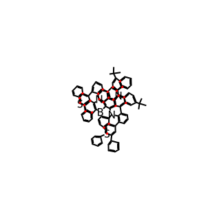 CC(C)(C)c1ccc(N(c2ccc(C(C)(C)C)cc2)c2cc3c4c(c2)N(c2c(-c5cccc(-c6ccccc6)c5)cccc2-c2cccc(-c5ccccc5)c2)c2cc(Sc5ccccc5)ccc2B4c2ccc(Sc4ccccc4)cc2N3c2c(-c3cccc(-c4ccccc4)c3)cccc2-c2cccc(-c3ccccc3)c2)cc1